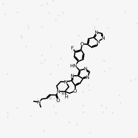 CN(C)C/C=C/C(=O)N1CCN2C[C@@H]1COc1cc3ncnc(Nc4ccc(Oc5ccn6ncnc6c5)c(F)c4)c3nc12